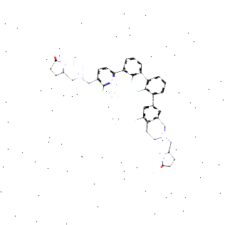 COc1cc(-c2cccc(-c3cccc(-c4ccc(CNCC5CCC(=O)N5)c(OC)n4)c3Cl)c2Cl)cc2c1CCN(CC1CCC(=O)N1)C2